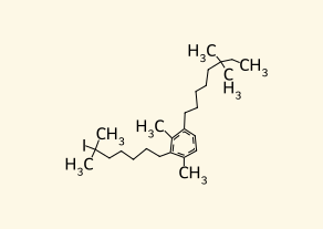 CCC(C)(C)CCCCCc1ccc(C)c(CCCCCC(C)(C)I)c1C